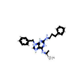 C[C@H](Nc1nc(NCCCc2ccccc2)nc2c1ncn2Cc1ccccc1)C(=O)O